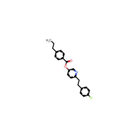 CCCc1ccc(C(=O)Oc2ccc(CCc3ccc(F)cc3)nc2)cc1